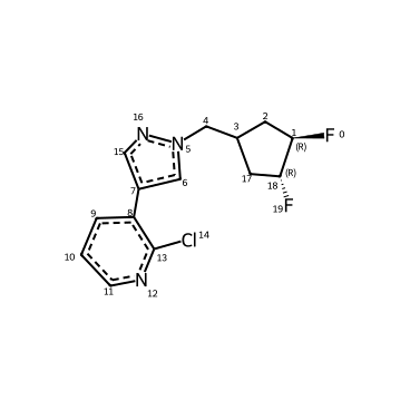 F[C@@H]1CC(Cn2cc(-c3cccnc3Cl)cn2)C[C@H]1F